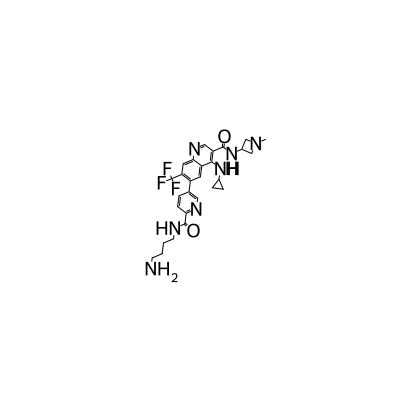 CN1CC(NC(=O)c2cnc3cc(C(F)(F)F)c(-c4ccc(C(=O)NCCCCN)nc4)cc3c2NC2CC2)C1